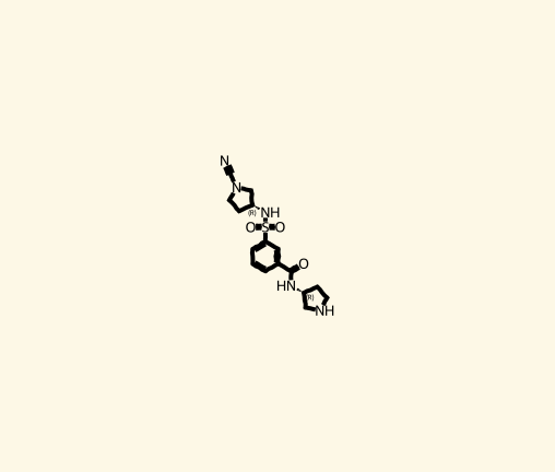 N#CN1CC[C@@H](NS(=O)(=O)c2cccc(C(=O)N[C@@H]3CCNC3)c2)C1